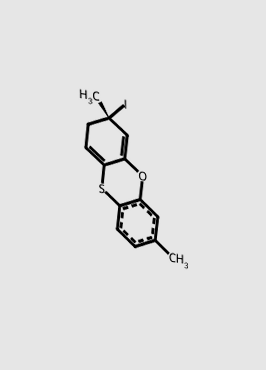 Cc1ccc2c(c1)OC1=C[C@@](C)(I)CC=C1S2